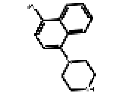 CC(C)c1ccc(N2CCNCC2)c2ccccc12